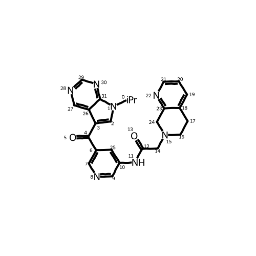 CC(C)n1cc(C(=O)c2cncc(NC(=O)CN3CCc4cccnc4C3)c2)c2cncnc21